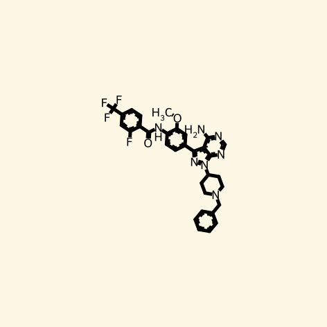 COc1cc(-c2nn(C3CCN(Cc4ccccc4)CC3)c3ncnc(N)c23)ccc1NC(=O)c1ccc(C(F)(F)F)cc1F